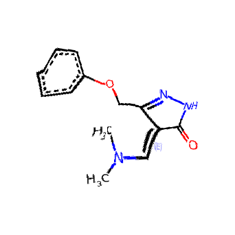 CN(C)/C=C1/C(=O)NN=C1COc1ccccc1